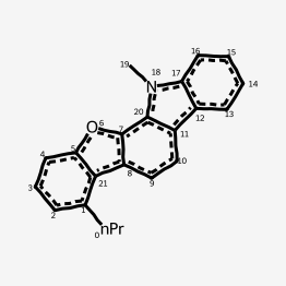 CCCc1cccc2oc3c(ccc4c5ccccc5n(C)c43)c12